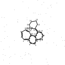 C1=CC=c2ccc3nccc(=C4CCCCN4)c3c2C=C1